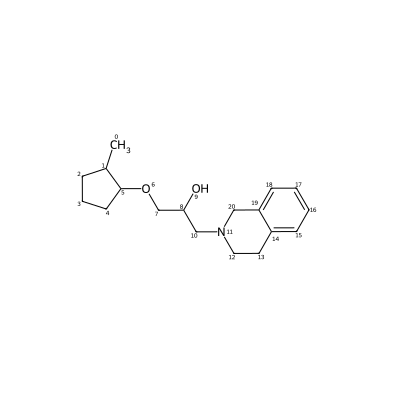 CC1CCCC1OCC(O)CN1CCc2ccccc2C1